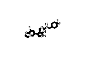 Fc1cc(-c2c[nH]c3nc(NCC4CCC(F)(F)CC4)ncc23)cn2ccnc12